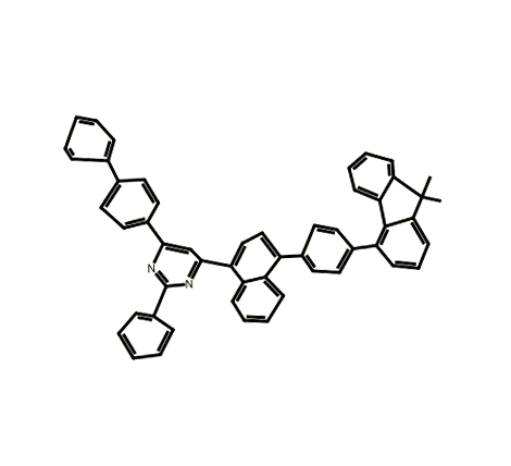 CC1(C)c2ccccc2-c2c(-c3ccc(-c4ccc(-c5cc(-c6ccc(-c7ccccc7)cc6)nc(-c6ccccc6)n5)c5ccccc45)cc3)cccc21